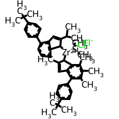 CC1=Cc2c(-c3ccc(C(C)(C)C)cc3)c(C)c(C)c(C)c2[CH]1[Zr+2]([CH]1C(C(C)C)=Cc2c(-c3ccc(C(C)(C)C)cc3)cccc21)=[Si](C)C.[Cl-].[Cl-]